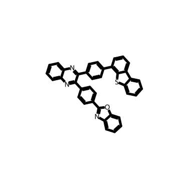 c1ccc2nc(-c3ccc(-c4cccc5c4sc4ccccc45)cc3)c(-c3ccc(-c4nc5ccccc5o4)cc3)nc2c1